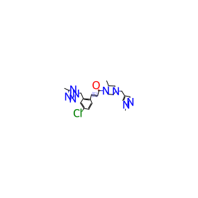 Cc1nnn(Cc2cc(Cl)ccc2/C=C/C(=O)N2CCN(Cc3cnn(C)c3)CC2C)n1